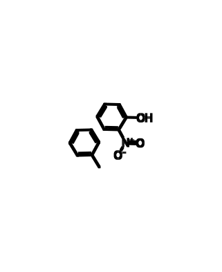 Cc1ccccc1.O=[N+]([O-])c1ccccc1O